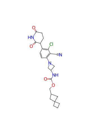 N#Cc1c(N2CC(NC(=O)OCC3CC4(CCC4)C3)C2)ccc(C2CCC(=O)NC2=O)c1Cl